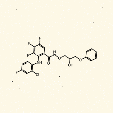 O=C(NOCC(O)COc1ccccc1)c1cc(F)c(F)c(F)c1Nc1ccc(I)cc1Cl